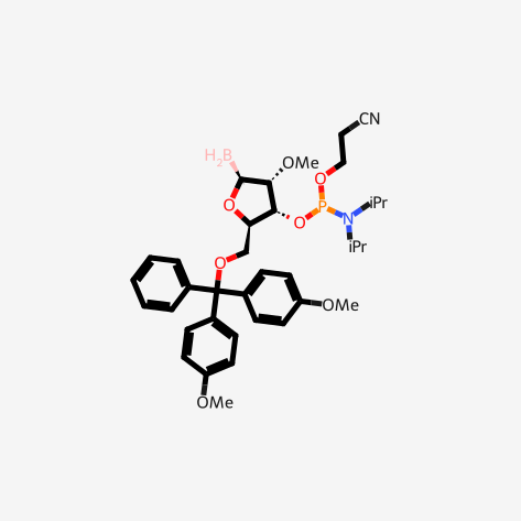 B[C@@H]1O[C@H](COC(c2ccccc2)(c2ccc(OC)cc2)c2ccc(OC)cc2)[C@@H](OP(OCCC#N)N(C(C)C)C(C)C)[C@H]1OC